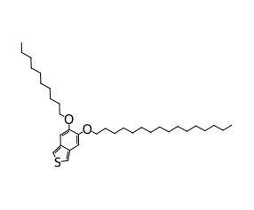 CCCCCCCCCCCCCCCCOc1cc2cscc2cc1OCCCCCCCCCC